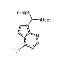 CCCCCCCC(CCCCCCC)n1ccc2c(N)ncnc21